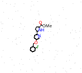 COC(=O)[C@@H]1CC[C@H](c2ccc(OCc3ccccc3F)cn2)N1